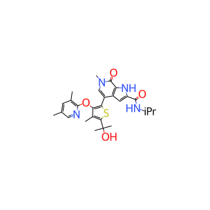 Cc1cnc(Oc2c(-c3cn(C)c(=O)c4[nH]c(C(=O)NC(C)C)cc34)sc(C(C)(C)O)c2C)c(C)c1